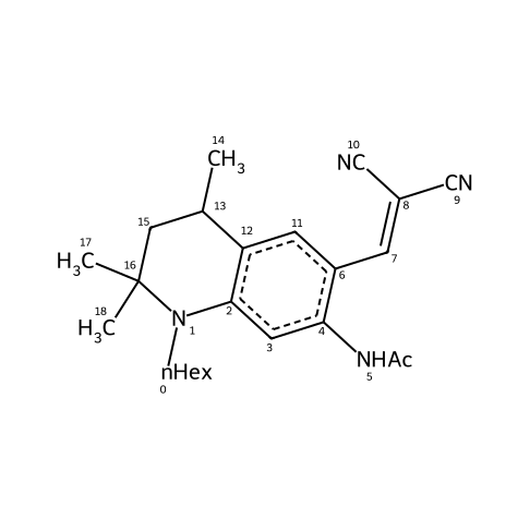 CCCCCCN1c2cc(NC(C)=O)c(C=C(C#N)C#N)cc2C(C)CC1(C)C